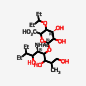 CCC(CC)OC1C(C(=O)O)O[C@H](OC(C(O)C(C)CO)[C@H](NC(C)=O)C(O)C(CC)CC)C(O)[C@H]1O